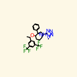 CC(OC1CCC2NC1(c1ccccc1)CC2c1nnnn1C)c1cc(C(F)(F)F)cc(C(F)(F)F)c1